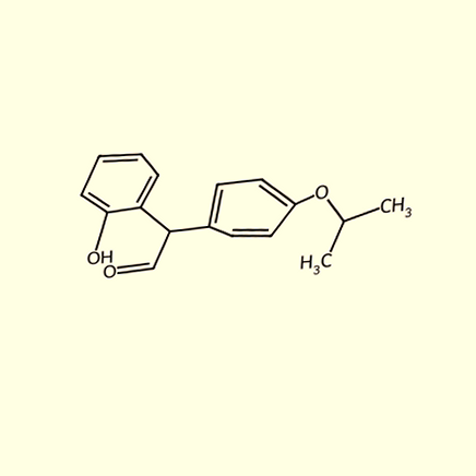 CC(C)Oc1ccc(C(C=O)c2ccccc2O)cc1